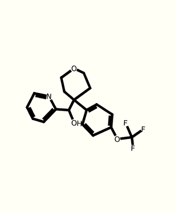 OC(c1ccccn1)C1(c2ccc(OC(F)(F)F)cc2)CCOCC1